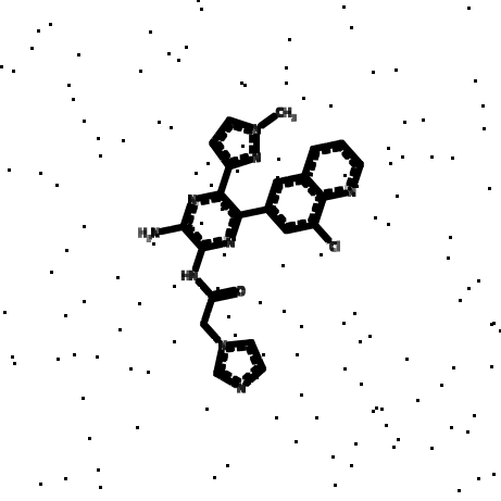 Cn1ccc(-c2nc(N)c(NC(=O)Cn3ccnc3)nc2-c2cc(Cl)c3ncccc3c2)n1